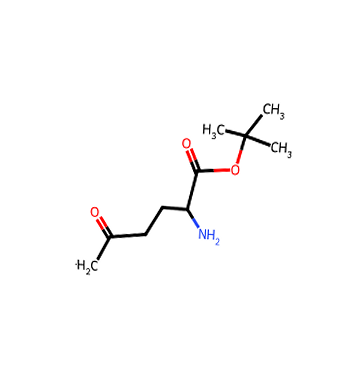 [CH2]C(=O)CCC(N)C(=O)OC(C)(C)C